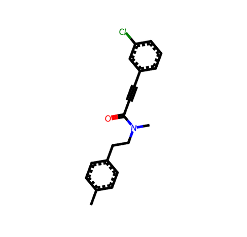 Cc1ccc(CCN(C)C(=O)C#Cc2cccc(Cl)c2)cc1